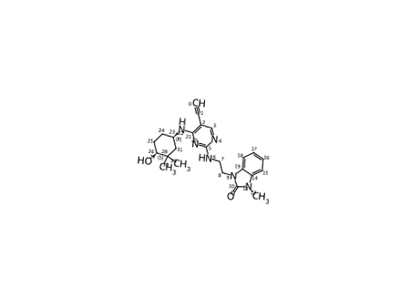 C#Cc1cnc(NCCn2c(=O)n(C)c3ccccc32)nc1N[C@@H]1CC[C@H](O)C(C)(C)C1